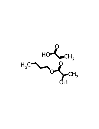 C=CC(=O)O.CCCCOC(=O)C(C)O